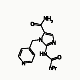 CCCC(=O)Nc1ncc(C(N)=O)n1Cc1ccncc1